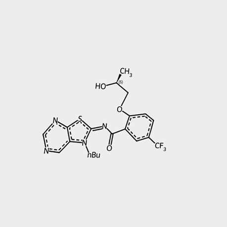 CCCCn1c(=NC(=O)c2cc(C(F)(F)F)ccc2OC[C@H](C)O)sc2ncncc21